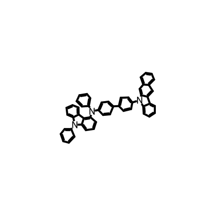 c1ccc(N(c2ccc(-c3ccc(-n4c5ccccc5c5cc6ccccc6cc54)cc3)cc2)c2cccc3c2c2ccccc2n3-c2ccccc2)cc1